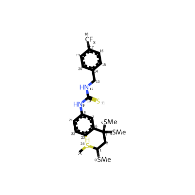 CSC1CC(SC)(SC)c2cc(NC(=S)NCc3ccc(C(F)(F)F)cc3)ccc2[SH]1C